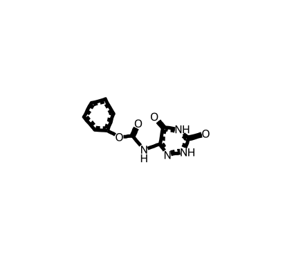 O=C(Nc1n[nH]c(=O)[nH]c1=O)Oc1ccccc1